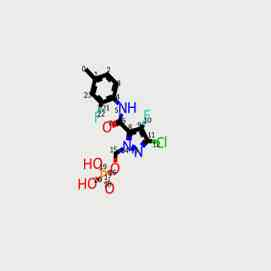 Cc1ccc(NC(=O)c2c(F)c(Cl)nn2COP(=O)(O)O)c(F)c1